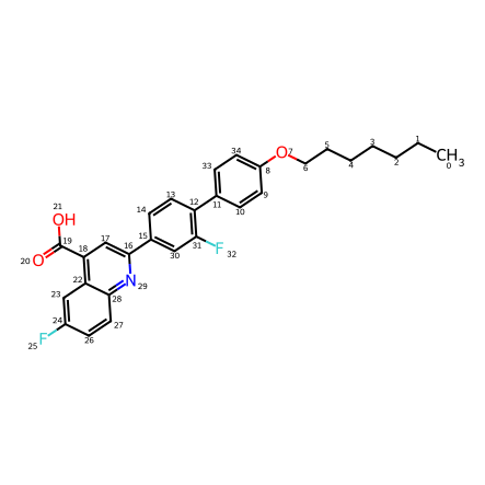 CCCCCCCOc1ccc(-c2ccc(-c3cc(C(=O)O)c4cc(F)ccc4n3)cc2F)cc1